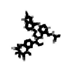 CCC(c1ccc2c(c1)N(C)C(=O)C(C)(C)C(=O)N2)N(CCn1ccc2oc(C)cc2c1=O)Cc1cccnc1COC(C)=O